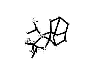 CC(O)OC12CC3CC(CC(C3)C1(OC(C)O)OC(C)O)C2